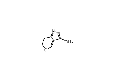 NC1=NN=C2CCOC=C12